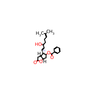 CC(C)=CCC[C@H](O)/C=C/[C@H]1C(OC(=O)c2ccccc2)C[C@@H]2OC(=O)C[C@@H]21